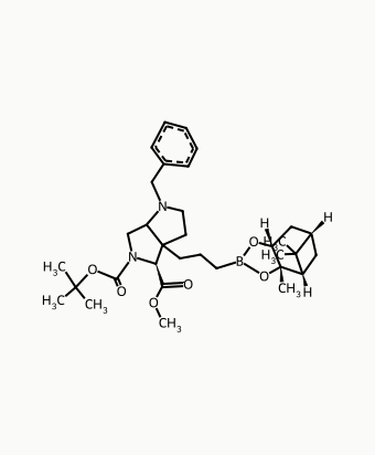 COC(=O)[C@H]1N(C(=O)OC(C)(C)C)CC2N(Cc3ccccc3)CCC21CCCB1O[C@@H]2C[C@@H]3C[C@@H](C3(C)C)[C@]2(C)O1